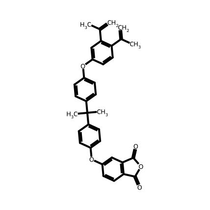 C=C(C)c1ccc(Oc2ccc(C(C)(C)c3ccc(Oc4ccc5c(c4)C(=O)OC5=O)cc3)cc2)cc1C(=C)C